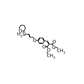 CCOC(=O)C(=Cc1ccc(OCC=C[SiH2]C2CCCCO2)cc1)C(=O)OCC